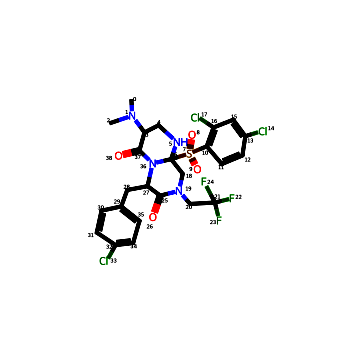 CN(C)C1CNC2(S(=O)(=O)c3ccc(Cl)cc3Cl)CN(CC(F)(F)F)C(=O)C(Cc3ccc(Cl)cc3)N2C1=O